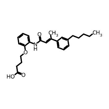 CCCCCc1cccc(C(C)=CC(=O)Nc2ccccc2OCCCC(=O)O)c1